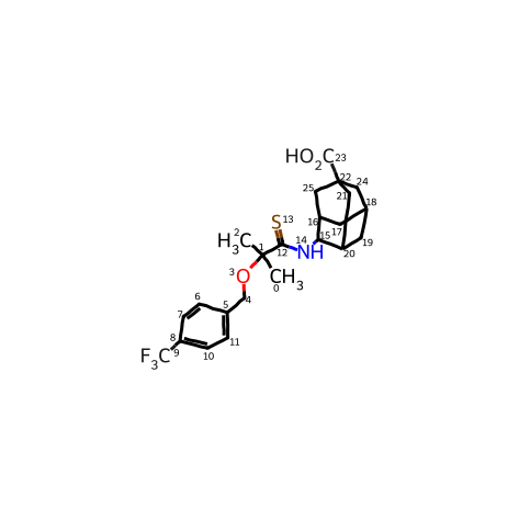 CC(C)(OCc1ccc(C(F)(F)F)cc1)C(=S)NC1C2CC3CC1CC(C(=O)O)(C3)C2